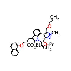 C=CCOCc1c(-c2cccc3c(CCCOc4cccc5ccccc45)c(C(=O)OCC)n(CC=C)c23)c(COC(C)C)nn1C